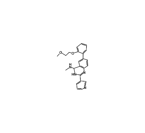 CNC1NC(c2cccnc2)=Nc2ccc(-c3ccccc3OCCOC)cc21